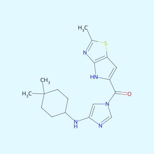 Cc1nc2[nH]c(C(=O)n3cnc(NC4CCC(C)(C)CC4)c3)cc2s1